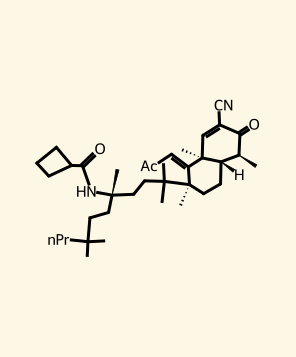 CCCC(C)(C)CC[C@@](C)(CCC(C)(C)[C@]1(C)CC[C@H]2[C@H](C)C(=O)C(C#N)=C[C@]2(C)/C1=C/C(C)=O)NC(=O)C1CCC1